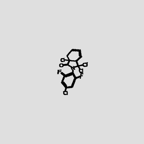 O=C1N(c2c(F)cc(Cl)cc2F)C(Cl)(Cl)C2CCCCC12Cl